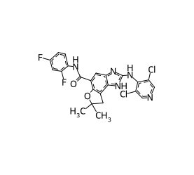 CC1(C)Cc2c(c(C(=O)Nc3ccc(F)cc3F)cc3nc(Nc4c(Cl)cncc4Cl)[nH]c23)O1